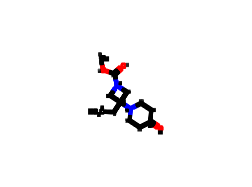 CC(C)(C)OC(=O)N1CC(CC(=O)O)(N2CCC(=O)CC2)C1